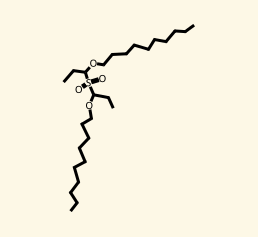 CCCCCCCCCCOC(CC)S(=O)(=O)C(CC)OCCCCCCCCCC